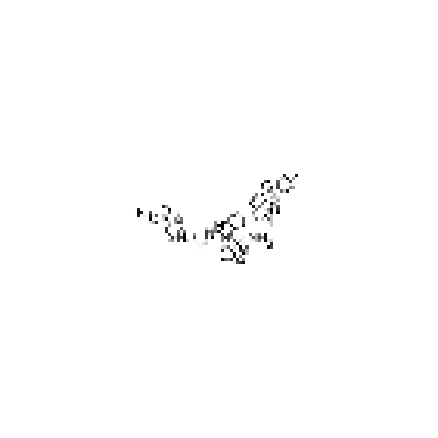 Cc1ccc(S(=O)(=O)n2ccc3c(-c4ccc5nc(N6CCC(CN7C[C@@H](C)N(C(=O)OC(C)(C)C)C[C@@H]7C)CC6)nc(C(CN)(OC6CC6)c6ccccc6)c5c4)cn(C)c(=O)c32)cc1